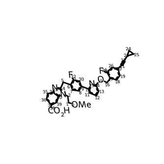 COCCn1c(Cc2ccc(-c3cccc(OCc4ccc(C#CC5CC5)cc4F)n3)cc2F)nc2ccc(C(=O)O)cc21